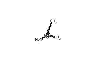 CCCCCCCCCP(=O)(OCCCC)OCCCC